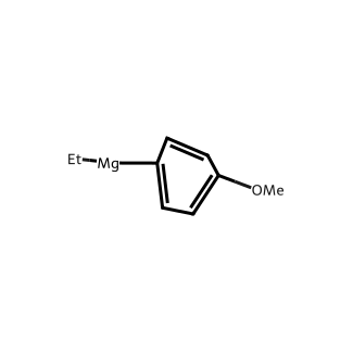 C[CH2][Mg][c]1ccc(OC)cc1